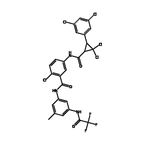 Cc1cc(NC(=O)c2cc(NC(=O)C3C(c4cc(Cl)cc(Cl)c4)C3(Cl)Cl)ccc2Cl)cc(NC(=O)C(F)(F)F)c1